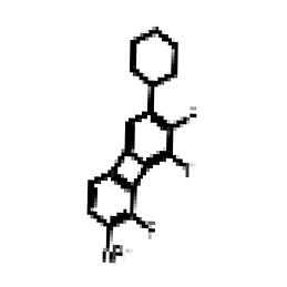 CCCc1ccc2c(c1F)-c1c-2cc(C2CCCCC2)c(F)c1F